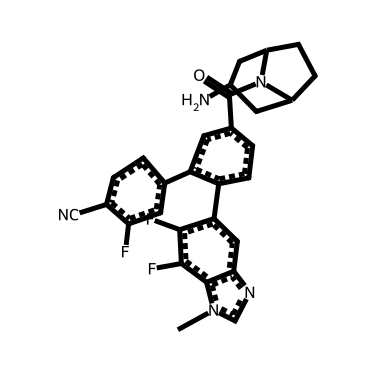 Cn1cnc2cc(-c3ccc(C(=O)N4C5CCC4CC(N)C5)cc3-c3ccc(C#N)c(F)c3)c(F)c(F)c21